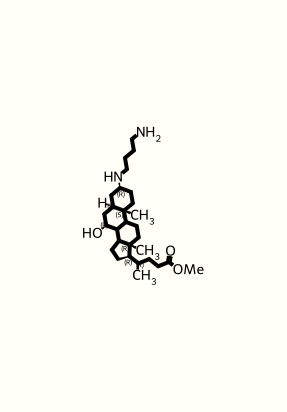 COC(=O)CC[C@@H](C)[C@H]1CCC2C3C(CC[C@@]21C)[C@@]1(C)CC[C@@H](NCCCCN)C[C@@H]1C[C@H]3O